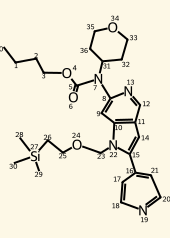 CCCCOC(=O)N(c1cc2c(cn1)cc(-c1ccncc1)n2COCC[Si](C)(C)C)C1CCOCC1